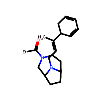 CCC(=O)N1CCC2CCC(C1)N2C/C=C(\C)C1C=CC=CC1